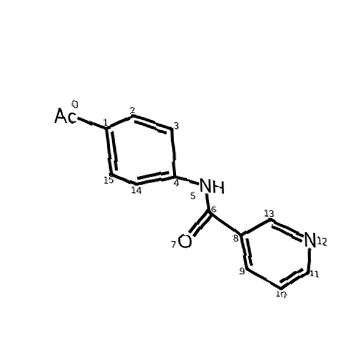 CC(=O)c1ccc(NC(=O)c2cccnc2)cc1